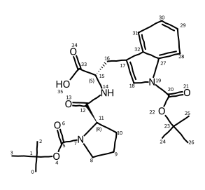 CC(C)(C)OC(=O)N1CCC[C@@H]1C(=O)N[C@@H](Cc1cn(C(=O)OC(C)(C)C)c2ccccc12)C(=O)O